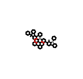 CC1C(c2ccc(N(c3ccccc3-c3cccc4c3-c3ccccc3C4(C)c3ccccc3)c3ccccc3-c3cccc4cccc(-c5ccccc5)c34)cc2)=CC=C2c3ccccc3N(c3ccccc3)C21